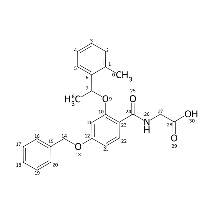 Cc1ccccc1C(C)Oc1cc(OCc2ccccc2)ccc1C(=O)NCC(=O)O